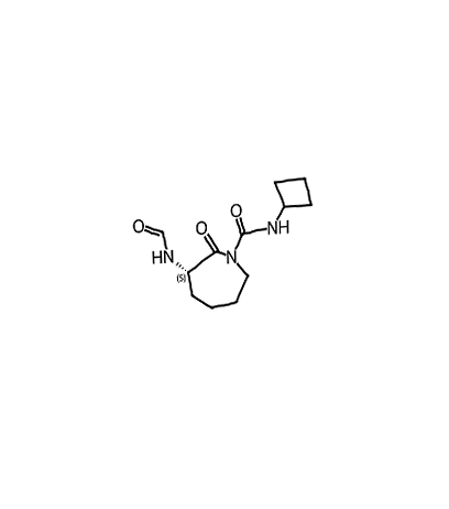 O=CN[C@H]1CCCCN(C(=O)NC2CCC2)C1=O